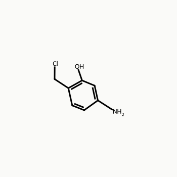 Nc1ccc(CCl)c(O)c1